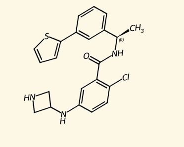 C[C@@H](NC(=O)c1cc(NC2CNC2)ccc1Cl)c1cccc(-c2cccs2)c1